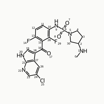 CNC1CCN(S(=O)(=O)Nc2ccc(F)c(C(=O)c3c[nH]c4ncc(Cl)cc34)c2F)C1